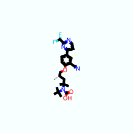 C[C@H](COc1ccc(-c2ccnc(C(F)F)n2)cc1C#N)CC(C)(C)N(C(=O)O)C(C)(C)C